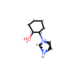 OC1CCCCC1n1ccnc1